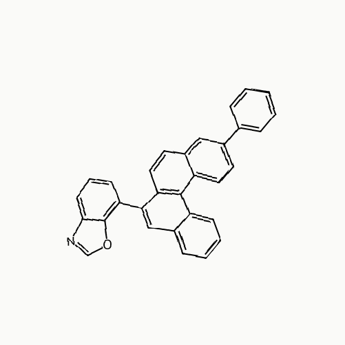 c1ccc(-c2ccc3c(ccc4c(-c5cccc6ncoc56)cc5ccccc5c43)c2)cc1